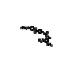 CCCCCCCC1CCC(OC(=O)c2ccc(/C=C/C(=O)OCC(C)c3cc(N)cc(N)c3)cc2)CC1